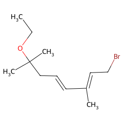 CCOC(C)(C)CC=CC(C)=CCBr